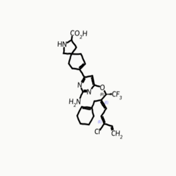 C=C/C(Cl)=C\C=C(/CC1=CCCCC1)[C@@H](Oc1cc(C2=CCC3(CC2)CNC(C(=O)O)C3)nc(N)n1)C(F)(F)F